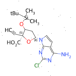 C#C[C@]1(C(=O)O)O[C@@H](n2ccc3c(N)nc(Cl)nc32)CC1O[Si](C)(C)C(C)(C)C